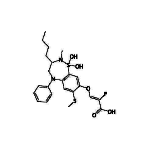 CCCCC1CN(c2ccccc2)c2cc(SC)c(O/C=C(\F)C(=O)O)cc2S(O)(O)N1C